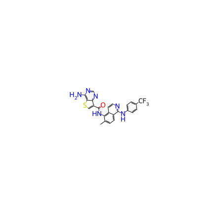 Cc1ccc2c(Nc3ccc(C(F)(F)F)cc3)nccc2c1NC(=O)c1csc2c(N)ncnc12